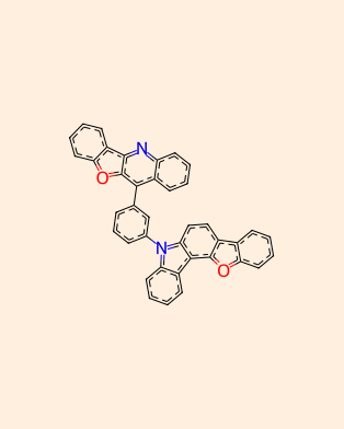 c1cc(-c2c3ccccc3nc3c2oc2ccccc23)cc(-n2c3ccccc3c3c4oc5ccccc5c4ccc32)c1